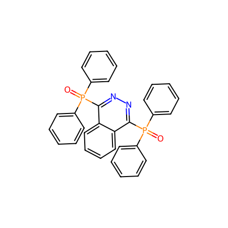 O=P(c1ccccc1)(c1ccccc1)c1nnc(P(=O)(c2ccccc2)c2ccccc2)c2ccccc12